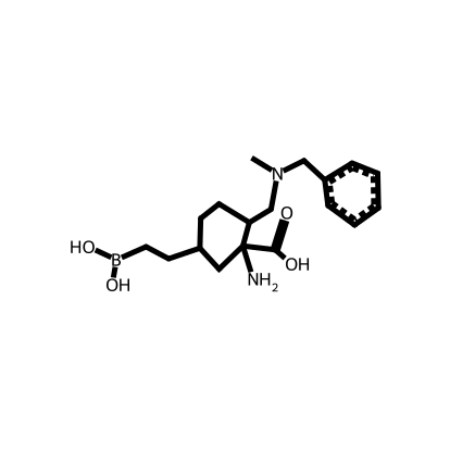 CN(Cc1ccccc1)CC1CCC(CCB(O)O)CC1(N)C(=O)O